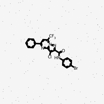 O=C(Nc1ccc(Br)cc1)c1nn2c(C(F)(F)F)cc(-c3ccccc3)nc2c1Cl